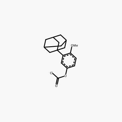 COc1ccc(OC(=O)Cl)cc1C12CC3CC(CC(C3)C1)C2